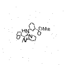 COC(=O)c1cccc(Nc2c(-c3ccco3)nc3ccccn23)c1